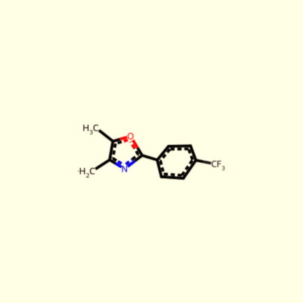 [CH2]c1nc(-c2ccc(C(F)(F)F)cc2)oc1C